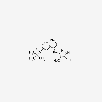 Cc1[nH]nc(Nc2ccnc3ccc(S(=O)(=O)C(C)(C)C)cc23)c1C